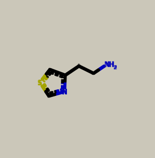 NC[CH]c1cscn1